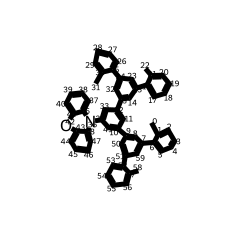 Cc1ccccc1-c1cc(-c2cc(-c3cc(-c4ccccc4C)cc(-c4ccccc4C)c3)cc(N3c4ccccc4Oc4ccccc43)c2)cc(-c2ccccc2C)c1